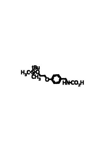 CC(C)(C)[Si](C)(C)OCCOc1ccc(CNC(=O)O)cc1